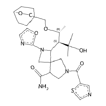 C[C@@H](OCC12CCC(CC1)OC2)[C@H](C1N(c2ncco2)CC12CN(C(=O)c1cncs1)CC2C(N)=O)C(C)(C)O